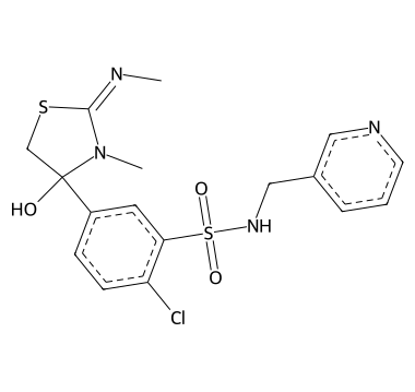 CN=C1SCC(O)(c2ccc(Cl)c(S(=O)(=O)NCc3cccnc3)c2)N1C